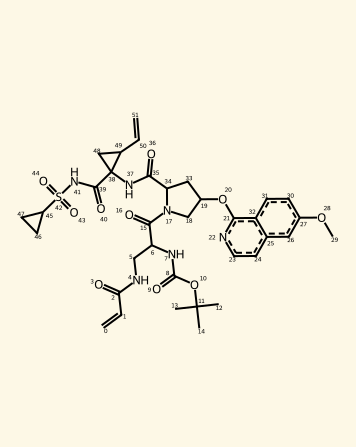 C=CC(=O)NCC(NC(=O)OC(C)(C)C)C(=O)N1CC(Oc2nccc3cc(OC)ccc23)CC1C(=O)NC1(C(=O)NS(=O)(=O)C2CC2)CC1C=C